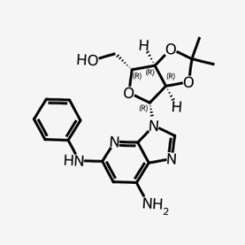 CC1(C)O[C@@H]2[C@H](O1)[C@@H](CO)O[C@H]2n1cnc2c(N)cc(Nc3ccccc3)nc21